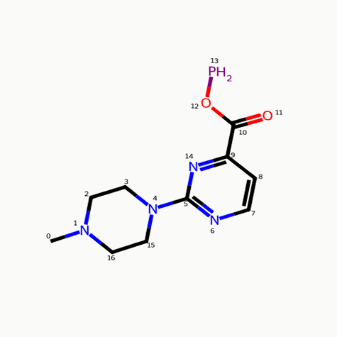 CN1CCN(c2nccc(C(=O)OP)n2)CC1